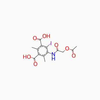 CC(=O)OCC(=O)Nc1c(C)c(C(=O)O)c(C)c(C(=O)O)c1I